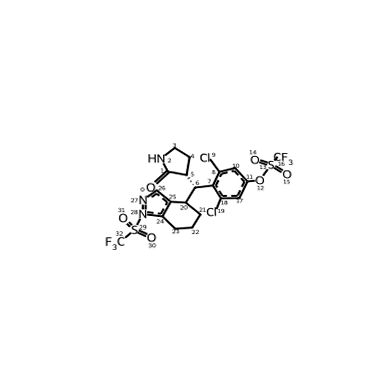 O=C1NCCC1[C@H](c1c(Cl)cc(OS(=O)(=O)C(F)(F)F)cc1Cl)C1CCCc2c1cnn2S(=O)(=O)C(F)(F)F